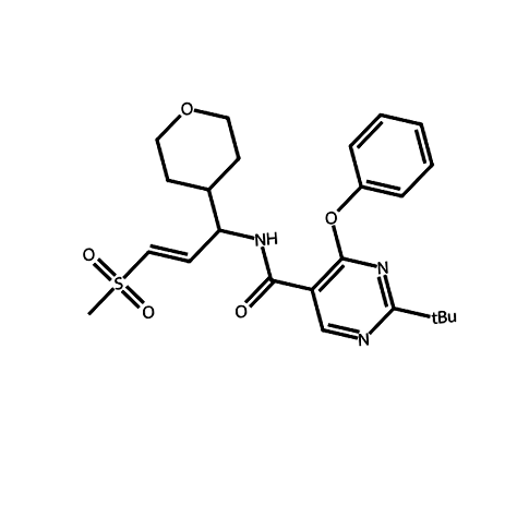 CC(C)(C)c1ncc(C(=O)NC(/C=C/S(C)(=O)=O)C2CCOCC2)c(Oc2ccccc2)n1